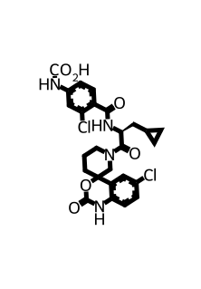 O=C(O)Nc1ccc(C(=O)N[C@@H](CC2CC2)C(=O)N2CCCC3(C2)OC(=O)Nc2ccc(Cl)cc23)c(Cl)c1